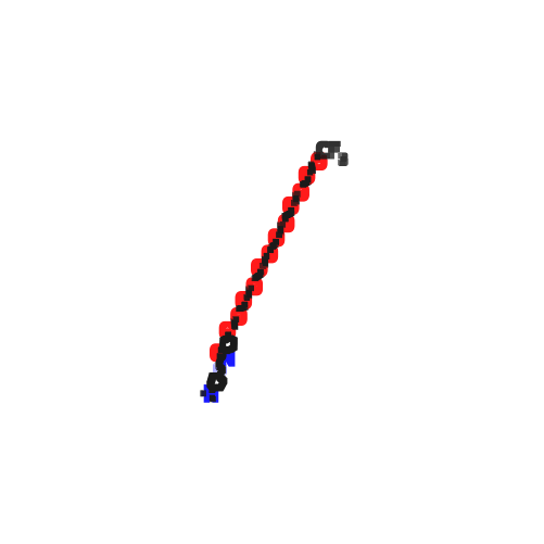 CN(C)c1ccc(/C=C/c2nc3ccc(OCCOCCOCCOCCOCCOCCOCCOCCOCCOCCOCCOCC(F)(F)F)cc3o2)cc1